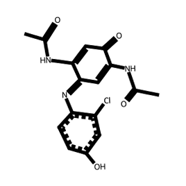 CC(=O)NC1=CC(=Nc2ccc(O)cc2Cl)C(NC(C)=O)=CC1=O